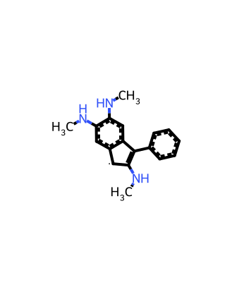 CNC1=C(c2ccccc2)c2cc(NC)c(NC)cc2[CH]1